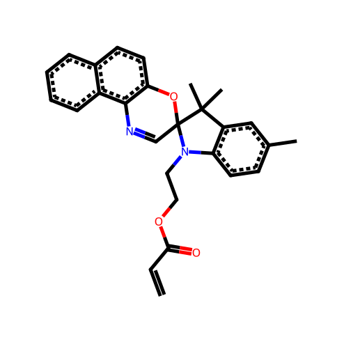 C=CC(=O)OCCN1c2ccc(C)cc2C(C)(C)C12C=Nc1c(ccc3ccccc13)O2